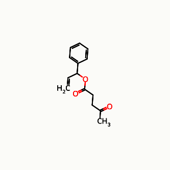 C=CC(OC(=O)CCC(C)=O)c1ccccc1